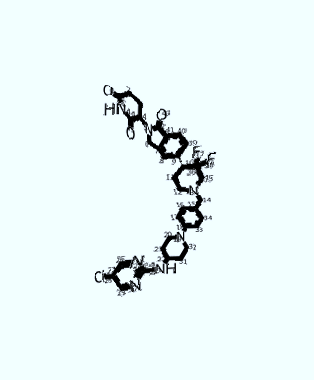 O=C1CCC(N2Cc3cc([C@H]4CCN(Cc5ccc(N6CCC(Nc7ncc(Cl)cn7)CC6)cc5)CC4(F)F)ccc3C2=O)C(=O)N1